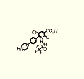 CCc1cc(C(=O)O)c(=O)[nH]c1-c1ccc(N2CCNCC2)cc1.O=C(O)C(F)(F)F